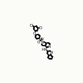 O=S(=O)(c1ccc(Oc2cc(Cl)cc(Cl)c2)cc1)N1CCc2c(ccnc2Nc2cnc3ccccc3c2)C1